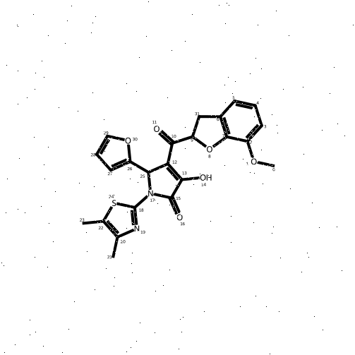 COc1cccc2c1OC(C(=O)C1=C(O)C(=O)N(c3nc(C)c(C)s3)C1c1ccco1)C2